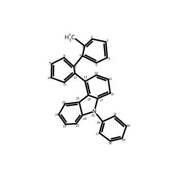 Cc1ccccc1-c1ccccc1-c1cccc2c1c1ccccc1n2-c1ccccc1